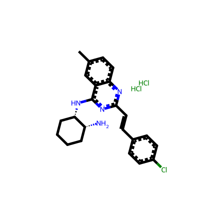 Cc1ccc2nc(C=Cc3ccc(Cl)cc3)nc(N[C@H]3CCCC[C@H]3N)c2c1.Cl.Cl